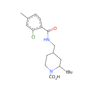 Cc1ccc(C(=O)NCC2CCN(C(=O)O)C(C(C)(C)C)C2)c(Cl)c1